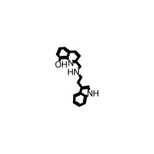 Oc1cccc2ccc(CNCCc3c[nH]c4ccccc34)nc12